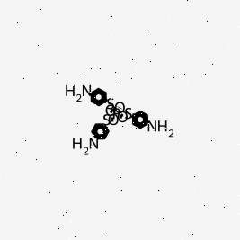 Nc1ccc(SOP(=O)(OSc2ccc(N)cc2)OSc2ccc(N)cc2)cc1